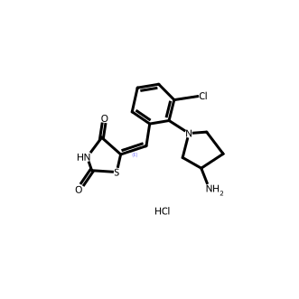 Cl.NC1CCN(c2c(Cl)cccc2/C=C2/SC(=O)NC2=O)C1